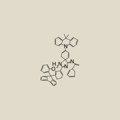 C=C(/N=C(\N=C(/N)C1=CCCC2=C1Oc1ccccc1C21c2ccccc2-c2ccccc21)C1(C)C=CC(N2c3ccccc3C(C)(C)c3ccccc32)=CC1)C1C=CC=CC1